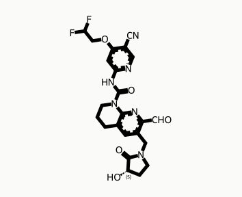 N#Cc1cnc(NC(=O)N2CCCc3cc(CN4CC[C@H](O)C4=O)c(C=O)nc32)cc1OCC(F)F